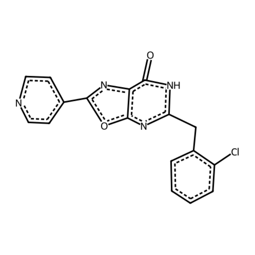 O=c1[nH]c(Cc2ccccc2Cl)nc2oc(-c3ccncc3)nc12